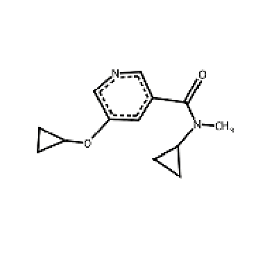 CN(C(=O)c1cncc(OC2CC2)c1)C1CC1